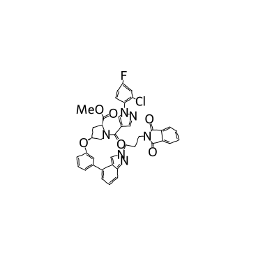 COC(=O)[C@@H]1C[C@H](Oc2cccc(-c3cccc4nn(CCCN5C(=O)c6ccccc6C5=O)cc34)c2)CN1C(=O)c1cnn(-c2ccc(F)cc2Cl)c1